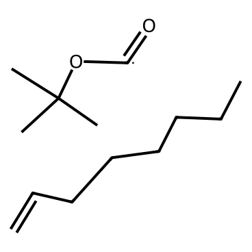 C=CCCCCCC.CC(C)(C)O[C]=O